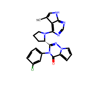 N#Cc1c[nH]c2ncnc(N3CCC[C@H]3c3nn4cccc4c(=O)n3-c3cccc(Cl)c3)c12